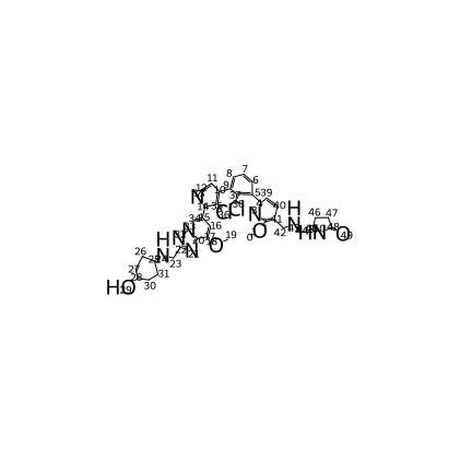 COc1nc(-c2cccc(-c3ccnc(-c4cc(OC)c5nc(CNC6CCC(O)CC6)nn5c4)c3Cl)c2Cl)ccc1CNC[C@@H]1CCC(=O)N1